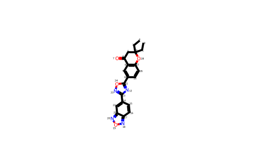 CCC1(CC)CC(=O)c2cc(-c3nc(-c4ccc5nonc5c4)no3)ccc2O1